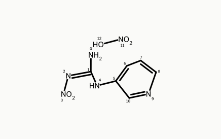 N/C(=N/[N+](=O)[O-])Nc1cccnc1.O=[N+]([O-])O